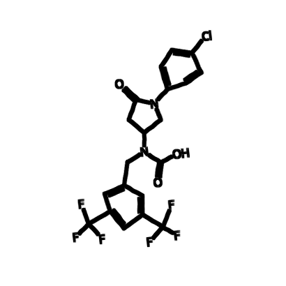 O=C1CC(N(Cc2cc(C(F)(F)F)cc(C(F)(F)F)c2)C(=O)O)CN1c1ccc(Cl)cc1